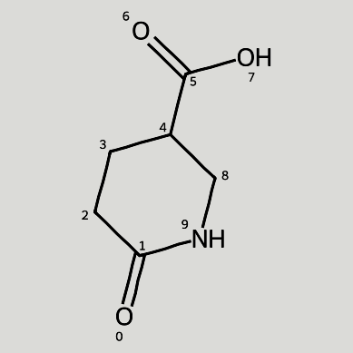 O=C1CCC(C(=O)O)CN1